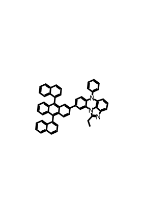 CCc1nc2cccc3c2n1-c1cc(-c2ccc4c(-c5cccc6ccccc56)c5ccccc5c(-c5cccc6ccccc56)c4c2)ccc1N3c1ccccc1